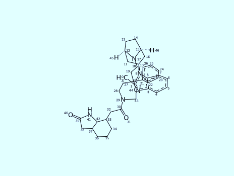 Cc1nc2ccccc2n1[C@H]1C[C@H]2CC[C@@H](C1)N2CCC1(c2ccccc2)CCN(C(=O)CC2CCCC3CC(=O)NC32)CC1